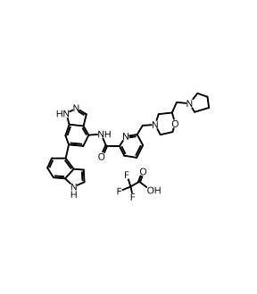 O=C(Nc1cc(-c2cccc3[nH]ccc23)cc2[nH]ncc12)c1cccc(CN2CCOC(CN3CCCC3)C2)n1.O=C(O)C(F)(F)F